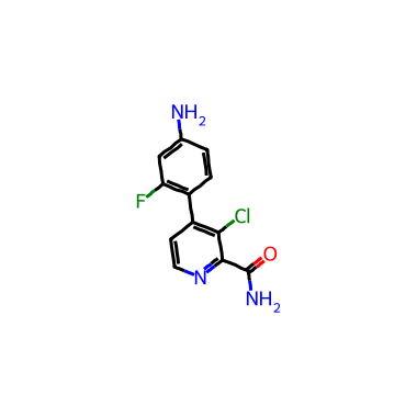 NC(=O)c1nccc(-c2ccc(N)cc2F)c1Cl